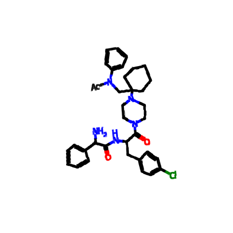 CC(=O)N(CC1(N2CCN(C(=O)C(Cc3ccc(Cl)cc3)NC(=O)C(N)c3ccccc3)CC2)CCCCC1)c1ccccc1